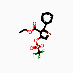 CCOC(=O)c1c(OS(=O)(=O)C(F)(F)F)csc1-c1ccccc1